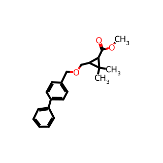 COC(=O)C1C(COCc2ccc(-c3ccccc3)cc2)C1(C)C